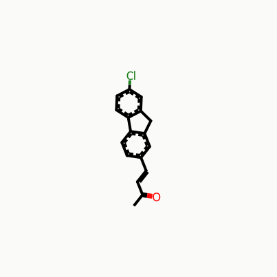 CC(=O)C=Cc1ccc2c(c1)Cc1cc(Cl)ccc1-2